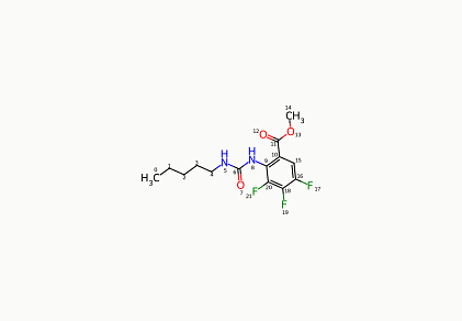 CCCCCNC(=O)Nc1c(C(=O)OC)cc(F)c(F)c1F